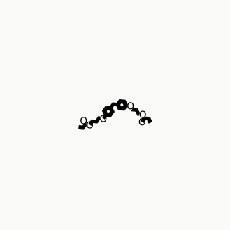 C=CC(=O)OCCCOc1ccc(Cc2ccc(OCCCOC(=O)C=C)cc2)cc1